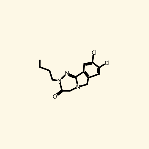 CCCCN1N=C2c3cc(Cl)c(Cl)cc3CN2CC1=O